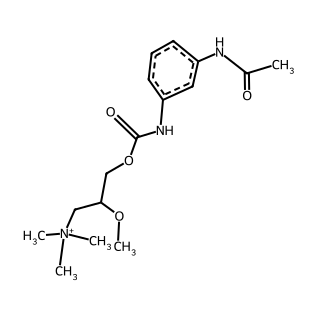 COC(COC(=O)Nc1cccc(NC(C)=O)c1)C[N+](C)(C)C